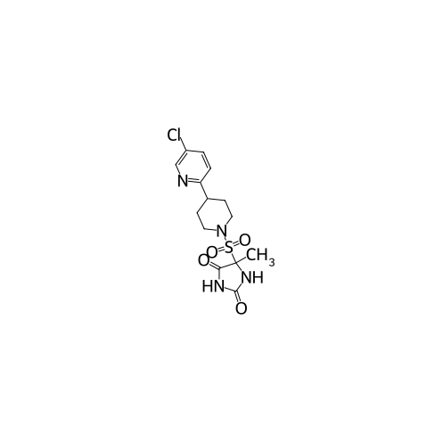 CC1(S(=O)(=O)N2CCC(c3ccc(Cl)cn3)CC2)NC(=O)NC1=O